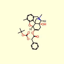 Cc1ccc2c3c1O[C@H]1C(OC(=O)[C@@H](OC(=O)OC(C)(C)C)c4ccccc4)=CC[C@@]4(O)[C@@H](C2)N(C)CC[C@]314